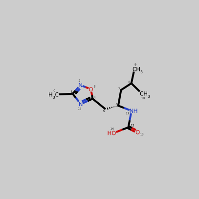 Cc1noc(C[C@H](CC(C)C)NC(=O)O)n1